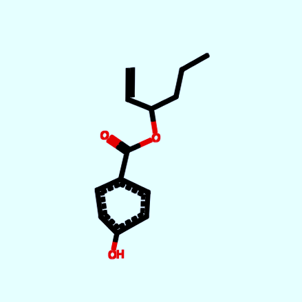 C=CC(CCC)OC(=O)c1ccc(O)cc1